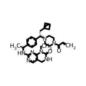 C=CC(=O)N1CCN([C@@H](CC23CC(C2)C3)c2ccc([C@H](C)Nc3ncc4c(n3)N(CC)C(=O)NC4)cc2)CC1